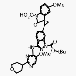 COc1ccc2c(c1)[C@]1(C[C@H]1c1ccc3c(Nc4nc(C5CCOCC5)ncc4OC)nn(C(=O)OC(C)(C)C)c3c1)C(=O)N2C(=O)O